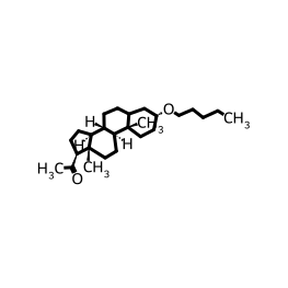 CCCCCO[C@@H]1CC[C@@]2(C)C(CC[C@H]3[C@@H]4CC[C@H](C(C)=O)[C@@]4(C)CC[C@@H]32)C1